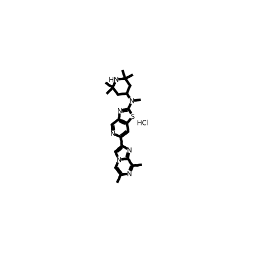 Cc1cn2cc(-c3cc4sc(N(C)C5CC(C)(C)NC(C)(C)C5)nc4cn3)nc2c(C)n1.Cl